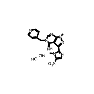 Cl.Cl.Cn1c([N+](=O)[O-])cnc1-c1nn(C)c2ncn(Cc3ccncc3)c(=N)c12